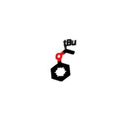 C[C@H](Oc1ccccc1)C(C)(C)C